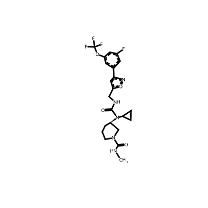 CNC(=O)N1CCC[C@@H](N(C(=O)NCc2cc(-c3cc(F)cc(OC(F)(F)F)c3)no2)C2CC2)C1